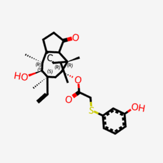 C=C[C@]1(C)C[C@@H](OC(=O)CSc2cccc(O)c2)[C@]2(C)C(C)CCC3(CCC(=O)C32)[C@@H](C)[C@@H]1O